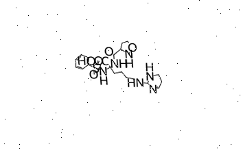 O=C(NC(CCCCNC1N=CCCN1)(NS(=O)(=O)c1ccccc1)C(=O)O)C1CCON1